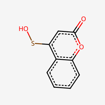 O=c1cc(SO)c2ccccc2o1